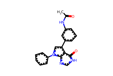 CC(=O)Nc1cccc(-c2cn(-c3ccccc3)c3nc[nH]c(=O)c23)c1